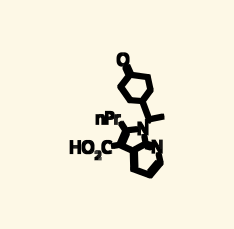 CCCc1c(C(=O)O)c2cccnc2n1C(C)C1CCC(=O)CC1